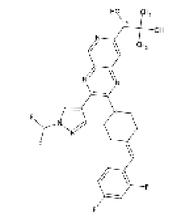 CC(C)(O)[C@@H](O)c1cc2nc(N3CCC(=Cc4ccc(F)cc4F)CC3)c(-c3cnn(C(F)F)c3)nc2cn1